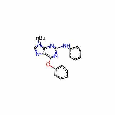 CCCCn1cnc2c(Oc3ccccc3)nc(Nc3ccccc3)nc21